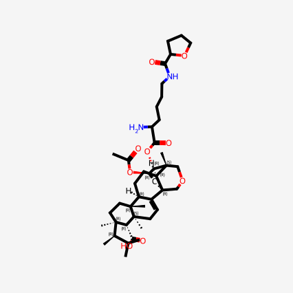 CC(=O)O[C@@H]1C[C@@]23COC[C@](C)([C@@H]2CC[C@H]2C3=CC[C@@]3(C)[C@H](C(=O)O)[C@@](C)([C@H](C)C(C)C)CC[C@]23C)[C@H]1OC(=O)C(N)CCCCNC(=O)C1CCCO1